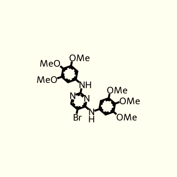 COc1cc(Nc2ncc(Br)c(Nc3cc(OC)c(OC)c(OC)c3)n2)cc(OC)c1OC